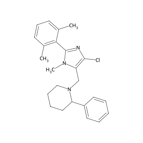 Cc1cccc(C)c1-c1nc(Cl)c(CN2CCCCC2c2ccccc2)n1C